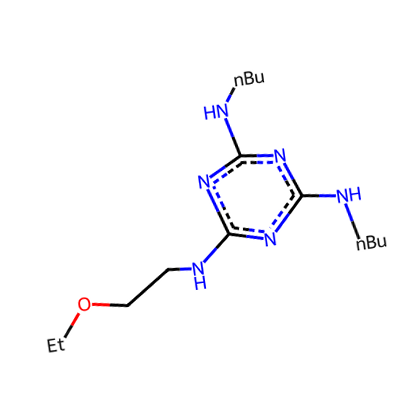 CCCCNc1nc(NCCCC)nc(NCCOCC)n1